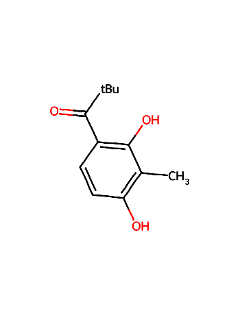 Cc1c(O)ccc(C(=O)C(C)(C)C)c1O